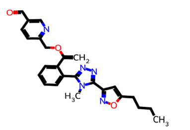 C=C(OCc1ccc(C=O)cn1)c1ccccc1-c1nnc(-c2cc(CCCC)on2)n1C